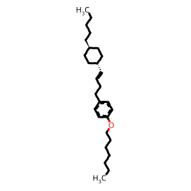 CCCCCCCOc1ccc(CCC=C[C@H]2CC[C@H](CCCCC)CC2)cc1